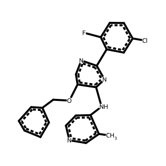 Cc1cnccc1Nc1nc(-c2cc(Cl)ccc2F)ncc1OCc1ccccc1